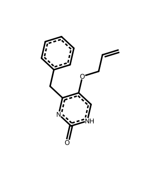 C=CCOc1c[nH]c(=O)nc1Cc1ccccc1